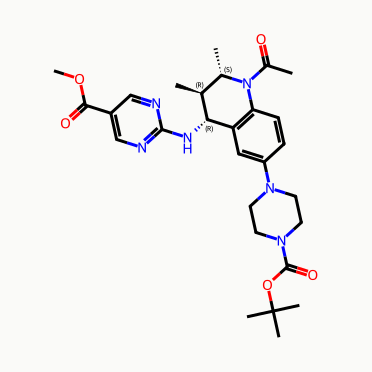 COC(=O)c1cnc(N[C@H]2c3cc(N4CCN(C(=O)OC(C)(C)C)CC4)ccc3N(C(C)=O)[C@@H](C)[C@@H]2C)nc1